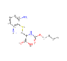 CCCCOC(=O)NC(CSc1c(N)cccc1N)C(=O)O